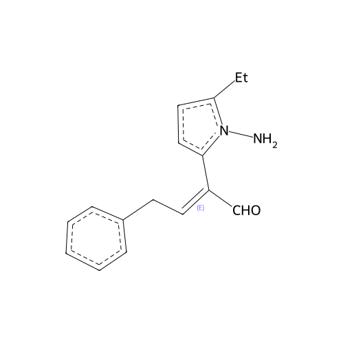 CCc1ccc(/C(C=O)=C\Cc2ccccc2)n1N